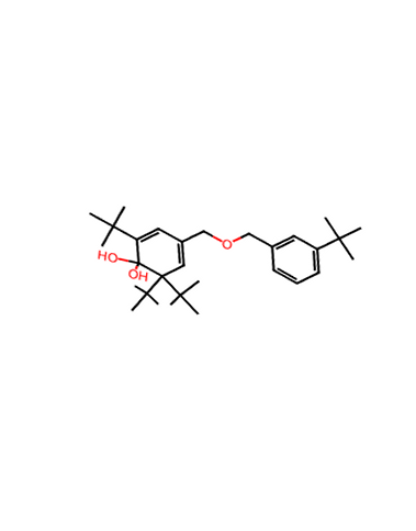 CC(C)(C)C1=CC(COCc2cccc(C(C)(C)C)c2)=CC(C(C)(C)C)(C(C)(C)C)C1(O)O